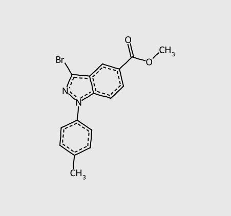 COC(=O)c1ccc2c(c1)c(Br)nn2-c1ccc(C)cc1